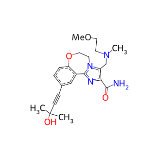 COCCN(C)Cc1c(C(N)=O)nc2n1CCOc1ccc(C#CC(C)(C)O)cc1-2